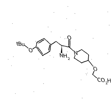 CC(C)(C)Oc1ccc(C[C@H](N)C(=O)N2CCC(OCC(=O)O)CC2)cc1